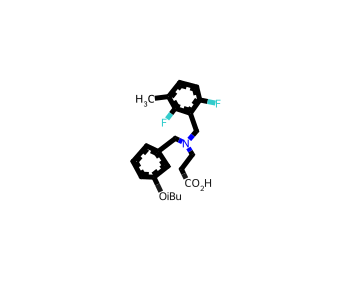 Cc1ccc(F)c(CN(CCC(=O)O)Cc2cccc(OCC(C)C)c2)c1F